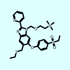 CCSCc1cc2nc(-c3ccccn3)n(COCC[Si](C)(C)C)c2cc1Oc1ccc(S(=O)(=O)CC)cc1